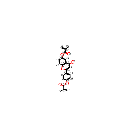 C=C(C)C(=O)Oc1ccc(-c2cc(=O)c3cc(OC(=O)C(=C)C)ccc3o2)cc1